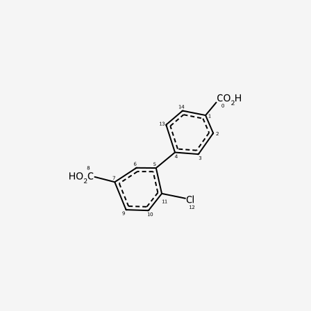 O=C(O)c1ccc(-c2cc(C(=O)O)ccc2Cl)cc1